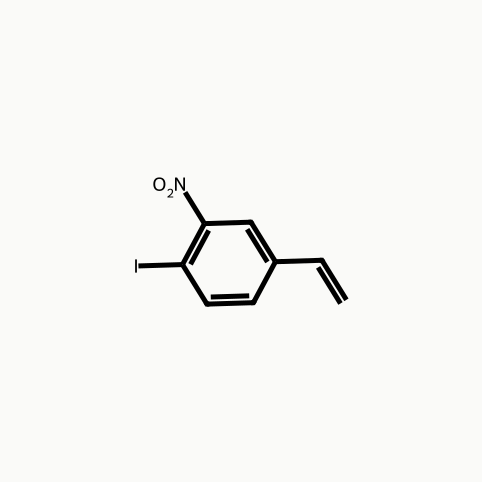 C=Cc1ccc(I)c([N+](=O)[O-])c1